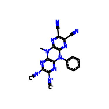 [C-]#[N+]c1nc2c(nc1[N+]#[C-])N(c1ccccc1)c1nc(C#N)c(C#N)nc1N2C